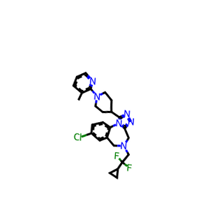 Cc1cccnc1N1CCC(c2nnc3n2-c2ccc(Cl)cc2CN(CC(F)(F)C2CC2)C3)CC1